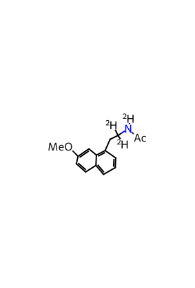 [2H]N(C(C)=O)C([2H])([2H])Cc1cccc2ccc(OC)cc12